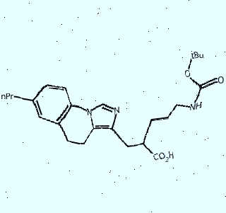 CCCc1ccc2c(c1)CCc1c(CC(CCCNC(=O)OC(C)(C)C)C(=O)O)ncn1-2